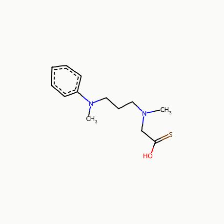 CN(CCCN(C)c1ccccc1)CC(O)=S